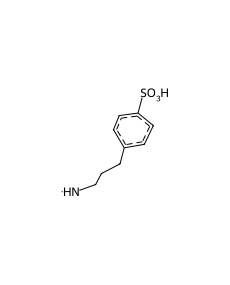 [NH]CCCc1ccc(S(=O)(=O)O)cc1